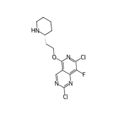 Fc1c(Cl)nc(OCC[C@H]2CCCCN2)c2cnc(Cl)nc12